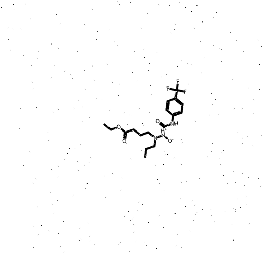 CCCN(CCCC(=O)OCC)[NH+]([O-])C(=O)Nc1ccc(C(F)(F)F)cc1